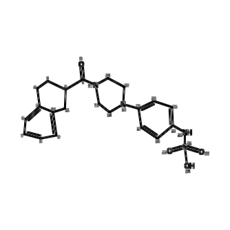 O=C(C1CCc2ccccc2C1)N1CCN(c2ccc(NS(=O)(=O)O)cc2)CC1